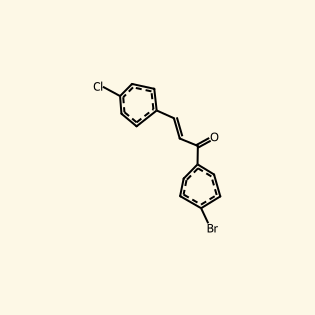 O=C(C=Cc1ccc(Cl)cc1)c1ccc(Br)cc1